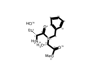 CC[C@@H](N)C(=O)N(Cc1ccccc1)[C@@H](C)C(=O)OC.Cl